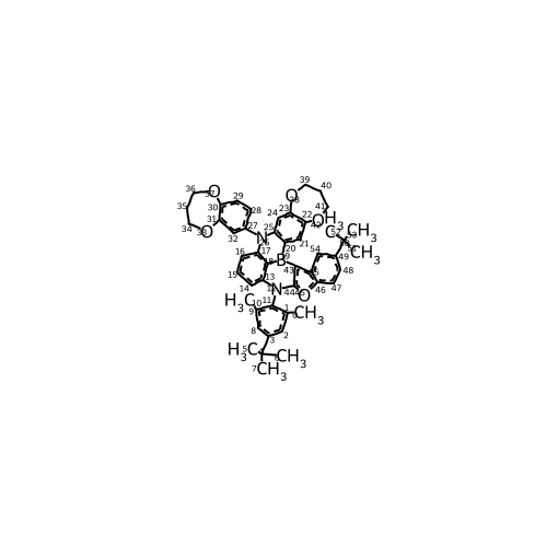 Cc1cc(C(C)(C)C)cc(C)c1N1c2cccc3c2B(c2cc4c(cc2N3c2ccc3c(c2)OCCCO3)OCCCO4)c2c1oc1ccc(C(C)(C)C)cc21